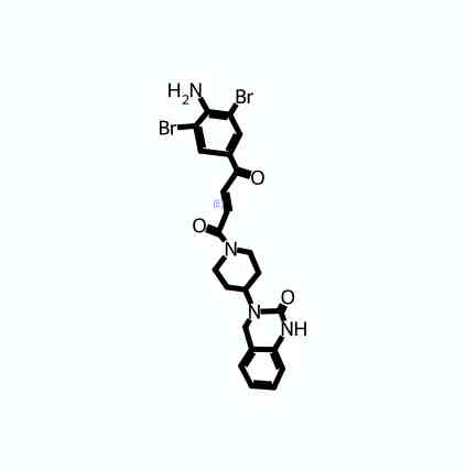 Nc1c(Br)cc(C(=O)/C=C/C(=O)N2CCC(N3Cc4ccccc4NC3=O)CC2)cc1Br